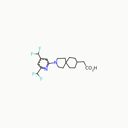 O=C(O)CC1CCC2(CC1)CCN(c1cc(C(F)F)cc(C(F)F)n1)CC2